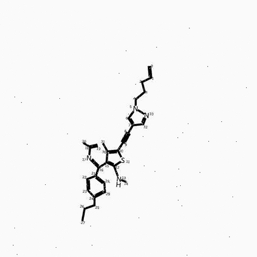 C=CCCCn1cc(C#Cc2sc(NC)c(/C(=N\C(=C)C)c3ccc(CCC)cc3)c2C)cn1